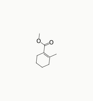 COC(=O)C1=C(C)CCCC1